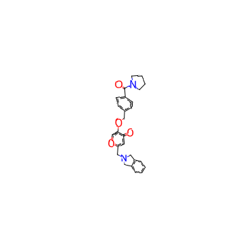 O=C(c1ccc(COc2coc(CN3Cc4ccccc4C3)cc2=O)cc1)N1CCCC1